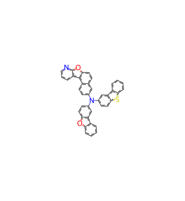 c1ccc2c(c1)oc1ccc(N(c3ccc4c(ccc5oc6ncccc6c54)c3)c3ccc4sc5ccccc5c4c3)cc12